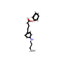 CCCCCCCCCCCCCNc1ccc(CCCC(=O)Oc2ccccc2)cc1